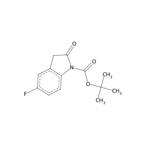 CC(C)(C)OC(=O)N1C(=O)Cc2cc(F)ccc21